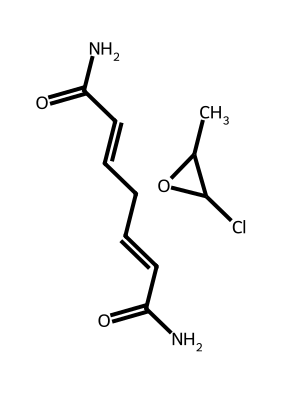 CC1OC1Cl.NC(=O)C=CCC=CC(N)=O